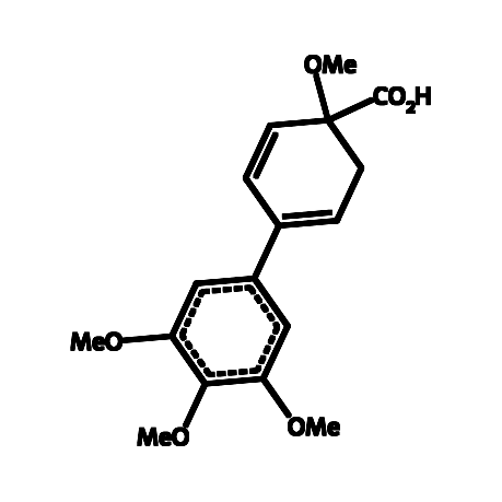 COc1cc(C2=CCC(OC)(C(=O)O)C=C2)cc(OC)c1OC